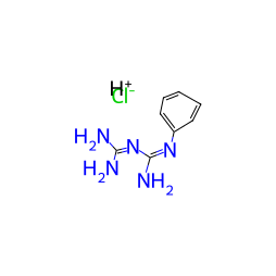 NC(N)=NC(N)=Nc1ccccc1.[Cl-].[H+]